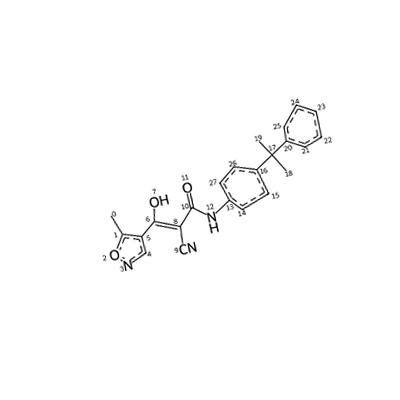 Cc1oncc1/C(O)=C(\C#N)C(=O)Nc1ccc(C(C)(C)c2ccccc2)cc1